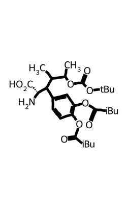 CCC(C)C(=O)Oc1ccc(C(C(C)C(C)OC(=O)OC(C)(C)C)[C@H](N)C(=O)O)cc1OC(=O)C(C)CC